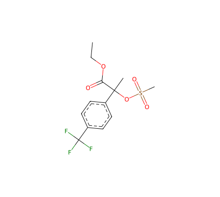 CCOC(=O)C(C)(OS(C)(=O)=O)c1ccc(C(F)(F)F)cc1